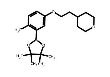 Cc1ccc(OCCC2CCOCC2)cc1B1OC(C)(C)C(C)(C)O1